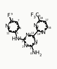 Nc1nc(Nc2ccc(F)nc2)nc(-c2nccc(C(F)(F)F)n2)n1